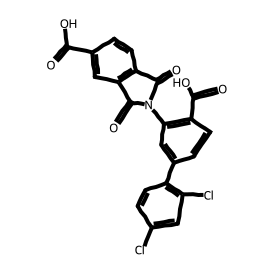 O=C(O)c1ccc2c(c1)C(=O)N(c1cc(-c3ccc(Cl)cc3Cl)ccc1C(=O)O)C2=O